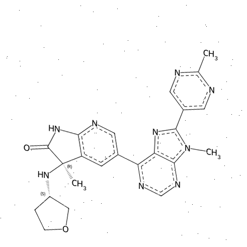 Cc1ncc(-c2nc3c(-c4cnc5c(c4)[C@@](C)(N[C@H]4CCOC4)C(=O)N5)ncnc3n2C)cn1